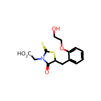 O=C(O)CN1C(=O)C(Cc2ccccc2OCCO)SC1=S